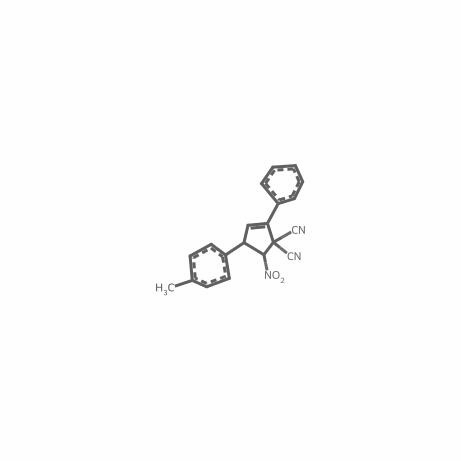 Cc1ccc(C2C=C(c3ccccc3)C(C#N)(C#N)C2[N+](=O)[O-])cc1